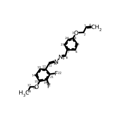 C=CCOc1ccc(C=NN=Cc2ccc(OCC)c(F)c2F)cc1